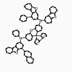 c1ccc(-c2cc(N(c3ccc4c(c3)Oc3cc(N(c5ccccc5)c5cc(-c6ccc7ccccc7c6)c6oc7ccccc7c6c5)ccc3C43c4ccccc4-c4ccccc43)c3ccc4sc5ccccc5c4c3)cc3oc4ccccc4c23)cc1